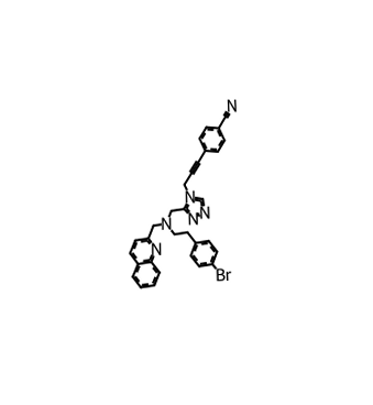 N#Cc1ccc(C#CCn2cnnc2CN(CCc2ccc(Br)cc2)Cc2ccc3ccccc3n2)cc1